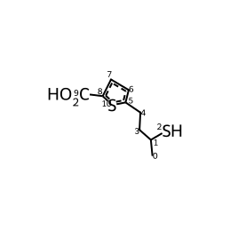 CC(S)CCc1ccc(C(=O)O)s1